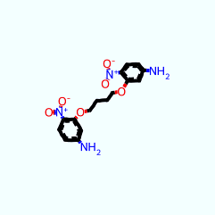 Nc1ccc([N+](=O)[O-])c(OCCCCOc2cc(N)ccc2[N+](=O)[O-])c1